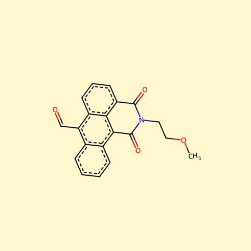 COCCN1C(=O)c2cccc3c(C=O)c4ccccc4c(c23)C1=O